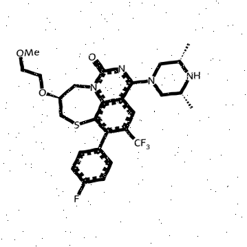 COCCO[C@@H]1CSc2c(-c3ccc(F)cc3)c(C(F)(F)F)cc3c(N4C[C@@H](C)N[C@@H](C)C4)nc(=O)n(c23)C1